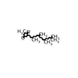 CC(C)=CCCC(C)=CCCC(C)=CCCC(C)=CCC1=CC(=O)C=C(C)C1=O